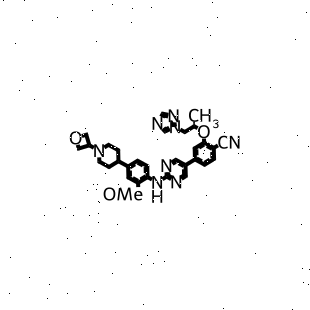 COc1cc(C2CCN(C3COC3)CC2)ccc1Nc1ncc(-c2ccc(C#N)c(O[C@@H](C)Cn3cncn3)c2)cn1